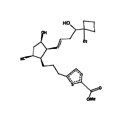 CCC1(C(O)CC=C[C@H]2[C@@H](CCCc3ccc(C(=O)OC)s3)[C@@H](C#N)C[C@H]2O)CCC1